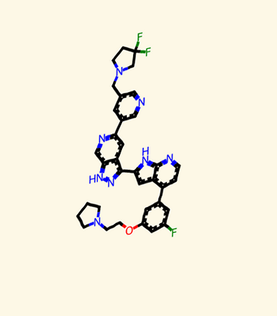 Fc1cc(OCCN2CCCC2)cc(-c2ccnc3[nH]c(-c4n[nH]c5cnc(-c6cncc(CN7CCC(F)(F)C7)c6)cc45)cc23)c1